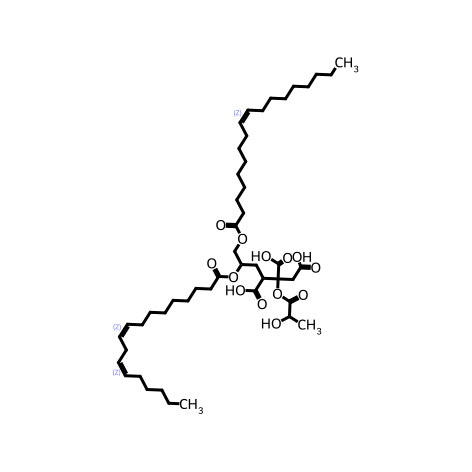 CCCCC/C=C\C/C=C\CCCCCCCC(=O)OC(COC(=O)CCCCCCC/C=C\CCCCCCCC)CC(C(=O)O)C(CC(=O)O)(OC(=O)C(C)O)C(=O)O